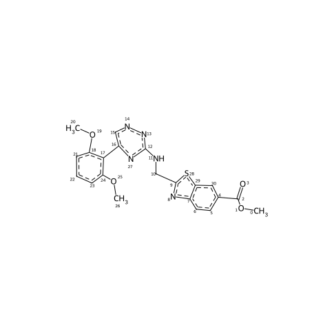 COC(=O)c1ccc2nc(CNc3nncc(-c4c(OC)cccc4OC)n3)sc2c1